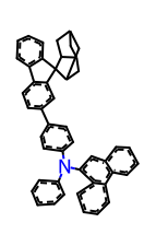 c1ccc(N(c2ccc(-c3ccc4c(c3)C3(c5ccccc5-4)C4CC5CC(C4)C3C5)cc2)c2cc3ccccc3c3ccccc23)cc1